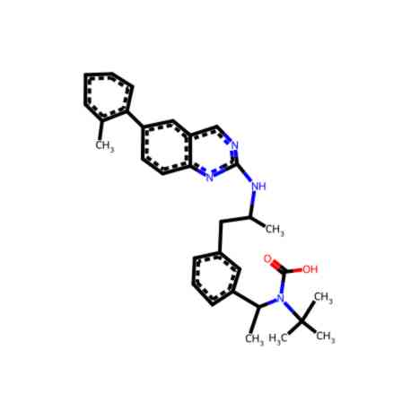 Cc1ccccc1-c1ccc2nc(NC(C)Cc3cccc(C(C)N(C(=O)O)C(C)(C)C)c3)ncc2c1